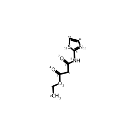 CCOC(=O)CC(=O)Nc1nccs1